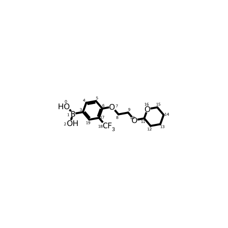 OB(O)c1ccc(OCCOC2CCCCO2)c(C(F)(F)F)c1